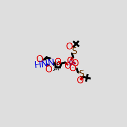 C[C@H]1CC(COP(=O)(OCCSC(=O)C(C)(C)C)OCCSC(=O)C(C)(C)C)O[C@H]1n1ccc(=O)[nH]c1=O